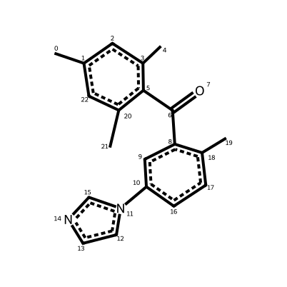 Cc1cc(C)c(C(=O)c2cc(-n3ccnc3)ccc2C)c(C)c1